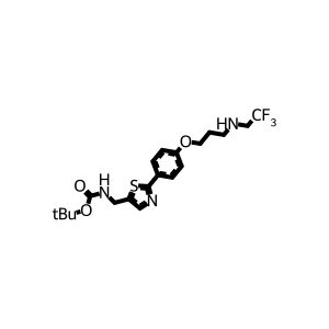 CC(C)(C)OC(=O)NCc1cnc(-c2ccc(OCCCNCC(F)(F)F)cc2)s1